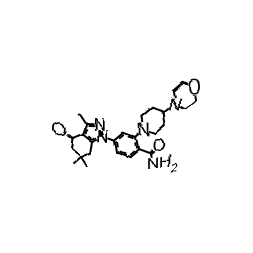 Cc1nn(-c2ccc(C(N)=O)c(N3CCC(N4CCOCC4)CC3)c2)c2c1C(=O)CC(C)(C)C2